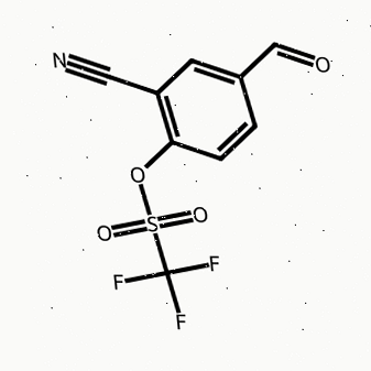 N#Cc1cc(C=O)ccc1OS(=O)(=O)C(F)(F)F